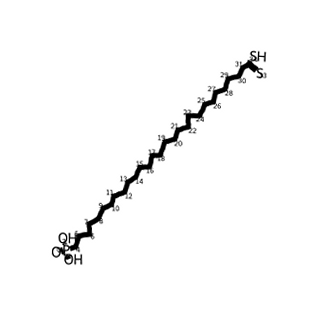 O=P(O)(O)CCCCCCCCCCCCCCCCCCCCCCCCCCCCC(=S)S